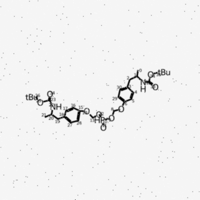 CC(Cc1ccc(OCO[PH](=O)OCOc2ccc(CC(C)NC(=O)OC(C)(C)C)cc2)cc1)NC(=O)OC(C)(C)C